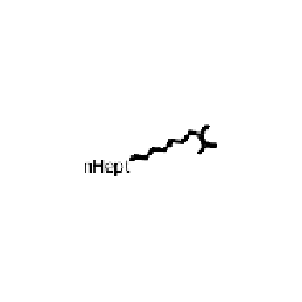 CCCCCCCCCCCCCCC(C)=C(C)C